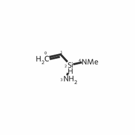 C=C[SiH](N)NC